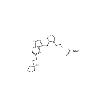 CNC(=O)CCCCN1CCC[C@@H]1Cc1c[nH]c2ccc(CCC3(O)CCCC3)cc12